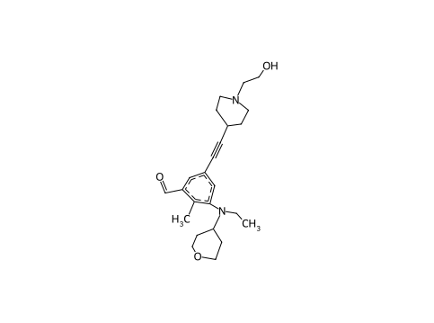 CCN(c1cc(C#CC2CCN(CCO)CC2)cc(C=O)c1C)C1CCOCC1